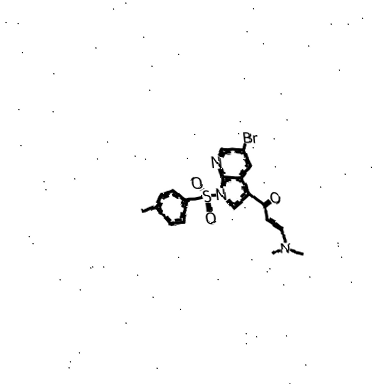 Cc1ccc(S(=O)(=O)n2cc(C(=O)C=CN(C)C)c3cc(Br)cnc32)cc1